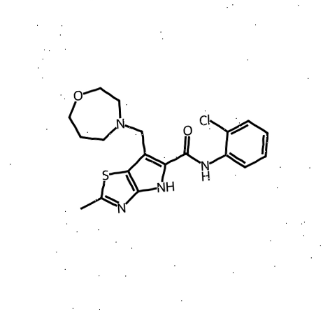 Cc1nc2[nH]c(C(=O)Nc3ccccc3Cl)c(CN3CCCOCC3)c2s1